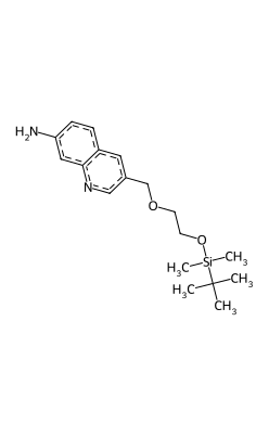 CC(C)(C)[Si](C)(C)OCCOCc1cnc2cc(N)ccc2c1